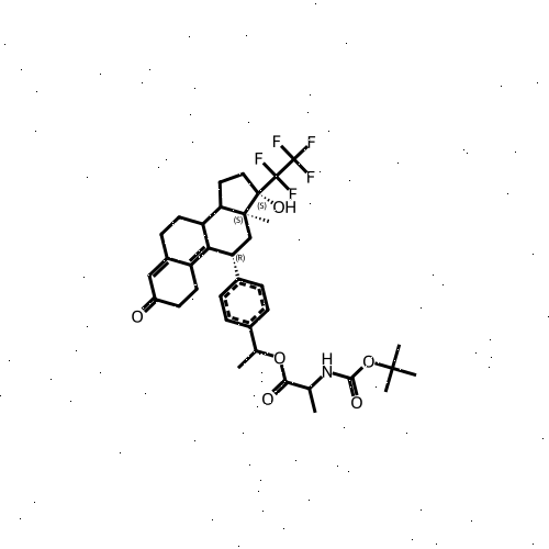 CC(NC(=O)OC(C)(C)C)C(=O)OC(C)c1ccc([C@H]2C[C@@]3(C)C(CC[C@@]3(O)C(F)(F)C(F)(F)F)C3CCC4=CC(=O)CCC4=C32)cc1